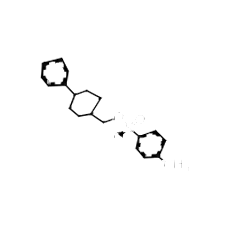 Cc1ccc(S(=O)(=O)OCC2CCC(c3ccccc3)CC2)cc1